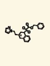 O=C(OCc1ccccc1)S(=O)(=O)C1C[C@H](CCn2cccn2)Cc2ccccc21